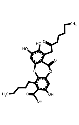 CCCCCC(=O)Cc1c(O)c(O)cc2c1C(=O)Oc1cc(O)c(C(=O)O)c(CCCCC)c1O2